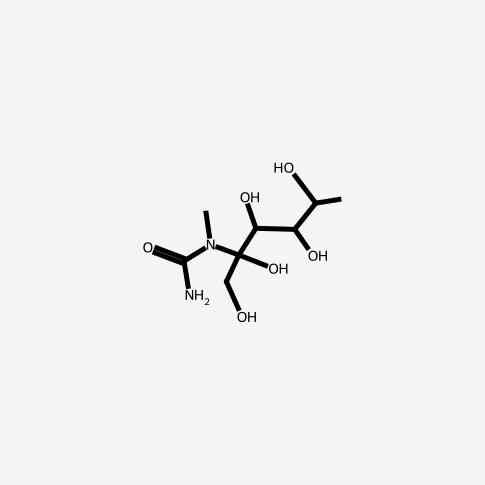 CC(O)C(O)C(O)C(O)(CO)N(C)C(N)=O